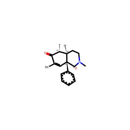 C[C@H]1C(=O)C(C#N)=C[C@@]2(c3ccccc3)C(=O)N(C)CC[C@H]12